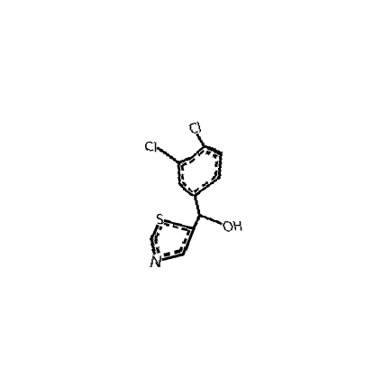 OC(c1ccc(Cl)c(Cl)c1)c1cncs1